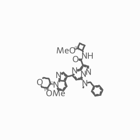 CO[C@H]1CCC1NC(=O)c1cnn2c(N(C)Cc3ccccc3)cc(-c3cnc4n([C@H]5CCOC[C@@H]5OC)cccc3-4)nc12